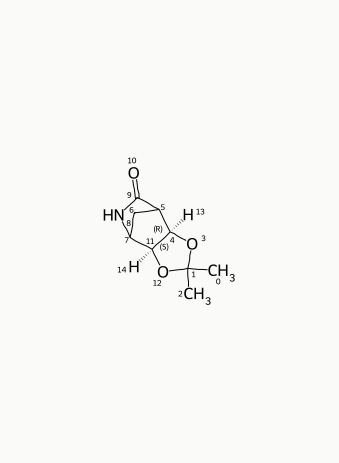 CC1(C)O[C@@H]2C3CC(NC3=O)[C@@H]2O1